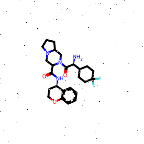 N[C@H](C(=O)N1CC2CCCN2CC1C(=O)N[C@@H]1CCOc2ccccc21)C1CCC(F)(F)CC1